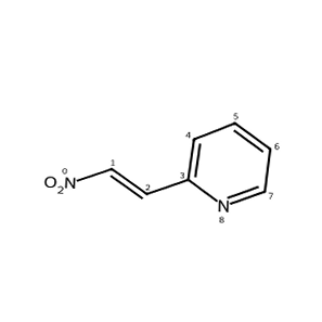 O=[N+]([O-])C=Cc1ccccn1